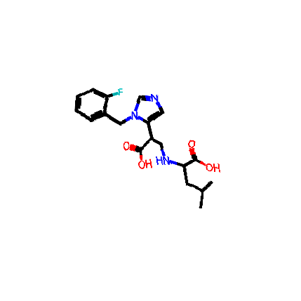 CC(C)CC(NCC(C(=O)O)c1cncn1Cc1ccccc1F)C(=O)O